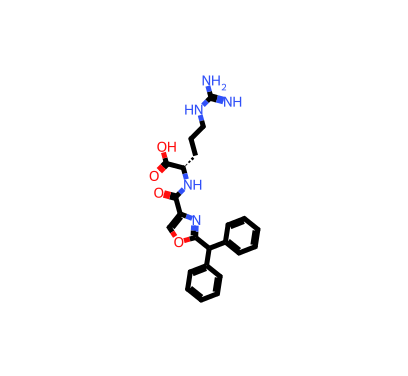 N=C(N)NCCC[C@H](NC(=O)c1coc(C(c2ccccc2)c2ccccc2)n1)C(=O)O